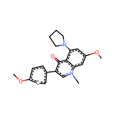 COc1ccc(-c2cn(C)c3cc(OC)cc(N4CCCC4)c3c2=O)cc1